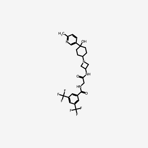 Cc1ccc(C2(O)CCC(N3CC(NC(=O)CNC(=O)c4cc(C(F)(F)F)cc(C(F)(F)F)c4)C3)CC2)cn1